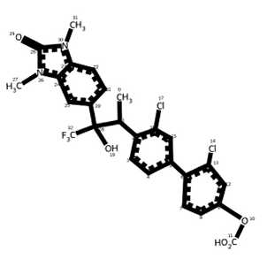 CC(c1ccc(-c2ccc(OC(=O)O)cc2Cl)cc1Cl)C(O)(c1ccc2c(c1)n(C)c(=O)n2C)C(F)(F)F